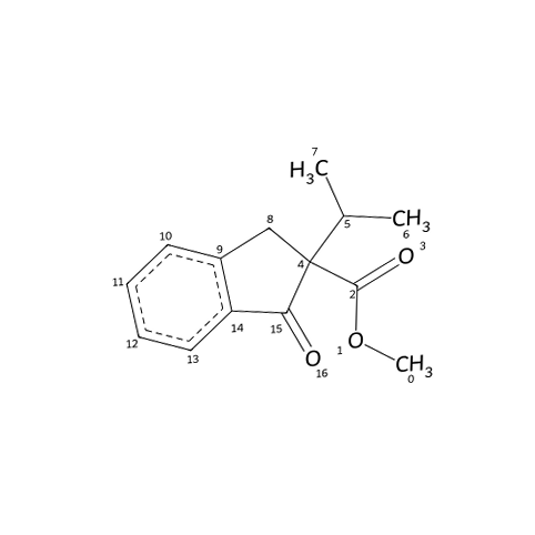 COC(=O)C1(C(C)C)Cc2ccccc2C1=O